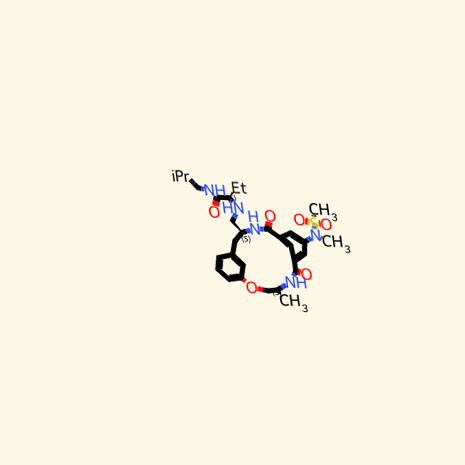 CC[C@H](NC[C@@H]1Cc2cccc(c2)OC[C@H](C)NC(=O)c2cc(cc(N(C)S(C)(=O)=O)c2)C(=O)N1)C(=O)NCC(C)C